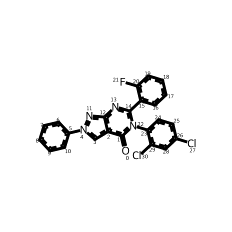 O=c1c2cn(-c3ccccc3)nc2nc(-c2ccccc2F)n1-c1ccc(Cl)cc1Cl